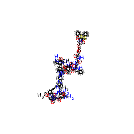 COc1ccc(C#CCNC2(C)CCN(C3CCN(c4nc([C@@](COCNC(=O)CNC(=O)[C@H](Cc5ccccc5)NC(=O)CNC(=O)CNC(=O)CCOCCOCCN5C(=O)C(Sc6ccccc6)=C(Sc6ccccc6)C5=O)(OC5CC5)c5ccccc5)c5cc(-c6cn(C)c(=O)c7[nH]ccc67)ccc5n4)CC3)CC2)cc1N1CCC(=O)N(CNC(=O)C(CC(N)=O)CC(N)=O)C1=O